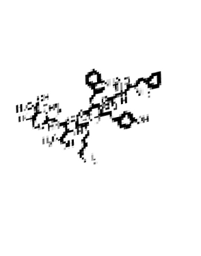 C[C@@H](O)[C@H](NC(=O)[C@H](CS)NC(=O)[C@@H](NC(=O)[C@H](CCCCN)NC(=O)[C@@H](Cc1c[nH]c2ccccc12)NC(=O)[C@H](Cc1ccc(O)cc1)NC(=O)[C@H](CS)NC(=O)[C@H](N)Cc1ccccc1)[C@@H](C)O)C(=O)O